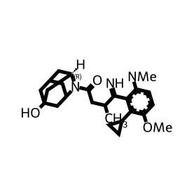 CNc1ccc(OC)c(C2CC2)c1C(=N)C(C)CC(=O)N1C2CC3C[C@@H]1CC(O)(C3)C2